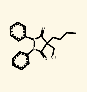 CCCCC1(CO)C(=O)N(c2ccccc2)N(c2ccccc2)C1=O